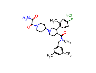 Cc1cc(F)ccc1C1CN(C2CCN(C(=O)C(N)=O)CC2)CCC1C(=O)N(C)Cc1cc(C(F)(F)F)cc(C(F)(F)F)c1.Cl